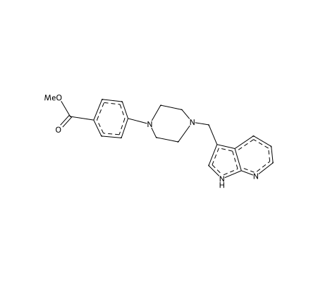 COC(=O)c1ccc(N2CCN(Cc3c[nH]c4ncccc34)CC2)cc1